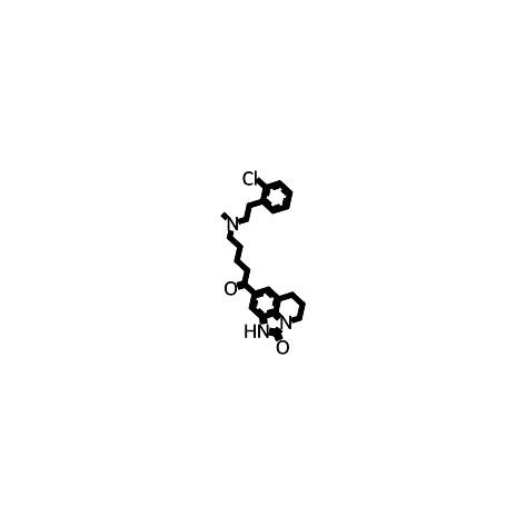 CN(CCCCC(=O)c1cc2c3c(c1)[nH]c(=O)n3CCC2)CCc1ccccc1Cl